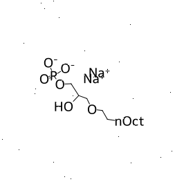 CCCCCCCCCCOCC(O)COP(=O)([O-])[O-].[Na+].[Na+]